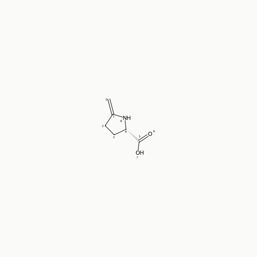 C=C1CC[C@@H](C(=O)O)N1